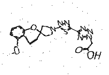 COc1cccc2c1CCC1(CCN(c3nnc(-c4nnn(CC(=O)O)n4)s3)CC1)O2